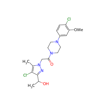 COc1cc(N2CCN(C(=O)Cn3nc(C(C)O)c(Cl)c3C)CC2)ccc1Cl